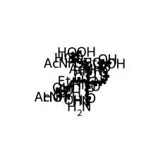 CCC(CNC(=O)CCC(CCC(=O)NCC(CC)C(C)COC(OC(CO)[C@@H](C)O)[C@H](CO)NC(C)=O)(CCC(=O)NCC(C)(C)CC(C)(C)COC1OC(CO)C(O)C(O)C1NC(C)=O)NC(=O)CCCC(=O)NCN)SCOC1OC(CO)C(O)C(O)C1NC(C)=O